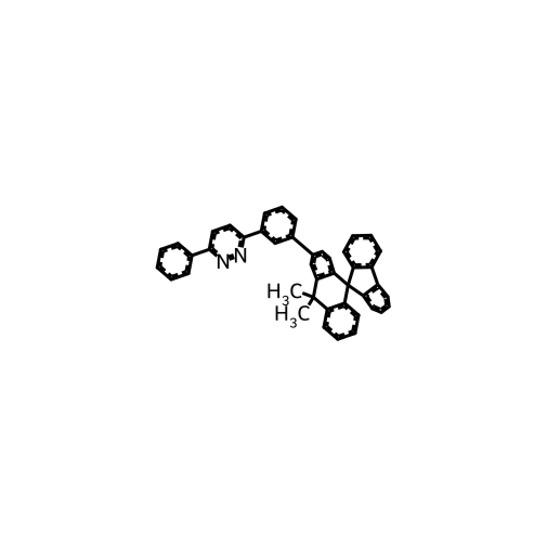 CC1(C)c2ccccc2C2(c3ccccc3-c3ccccc32)c2ccc(-c3cccc(-c4ccc(-c5ccccc5)nn4)c3)cc21